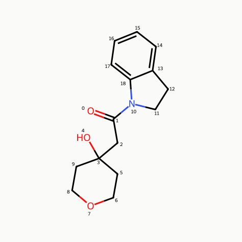 O=C(CC1(O)CCOCC1)N1CCc2ccccc21